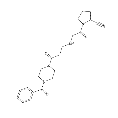 N#CC1CCCN1C(=O)CNCCC(=O)N1CCN(C(=O)c2ccccc2)CC1